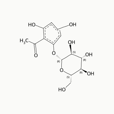 CC(=O)c1c(O)cc(O)cc1O[C@H]1O[C@@H](CO)[C@H](O)[C@@H](O)[C@@H]1O